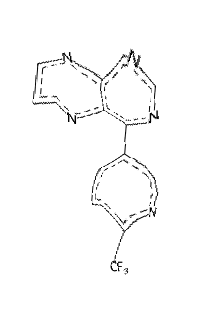 FC(F)(F)c1ccc(-c2ncnc3nccnc23)cn1